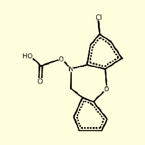 O=C(O)ON1Cc2ccccc2Oc2ccc(Cl)cc21